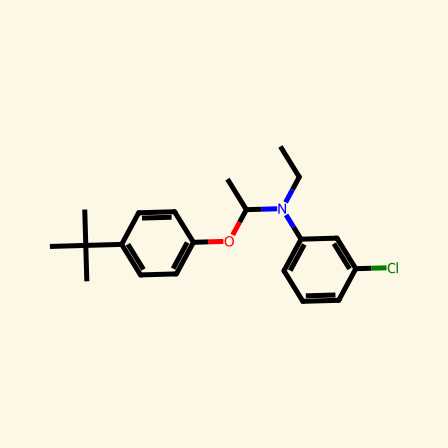 CCN(c1cccc(Cl)c1)C(C)Oc1ccc(C(C)(C)C)cc1